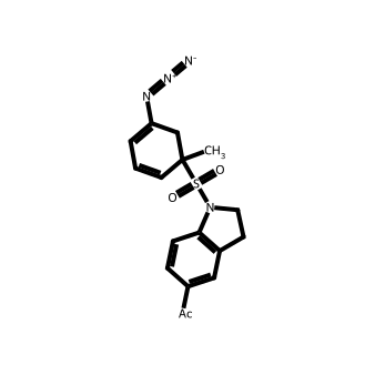 CC(=O)c1ccc2c(c1)CCN2S(=O)(=O)C1(C)C=CC=C(N=[N+]=[N-])C1